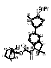 CCCOc1ccc(-c2ccc3c(c2)CC(C)(C)[C@H]3NC(=O)O[C@@H]2CN3CCC2CC3)cc1C